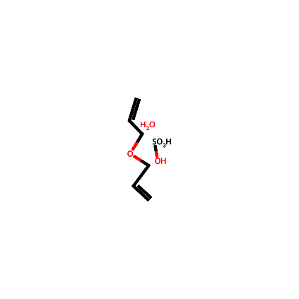 C=CCOCC=C.O.O=S(=O)(O)O